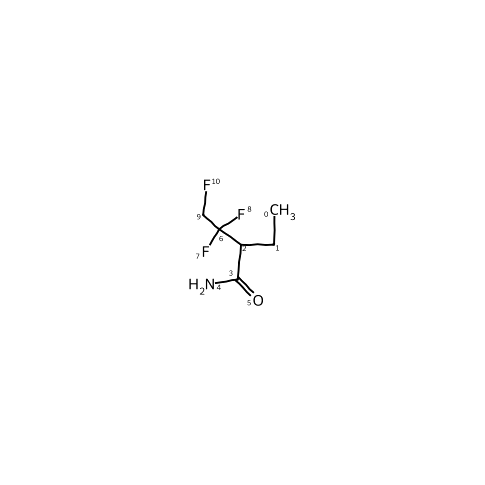 CCC(C(N)=O)C(F)(F)CF